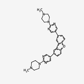 CN1CCN(c2ncc(-c3ccc4oc5ccc(-c6cnc(N7CCN(C)CC7)nc6)cc5c4c3)cn2)CC1